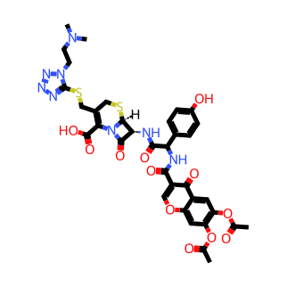 CC(=O)Oc1cc2occ(C(=O)NC(C(=O)N[C@@H]3C(=O)N4C(C(=O)O)=C(CSc5nnnn5CCN(C)C)CS[C@@H]34)c3ccc(O)cc3)c(=O)c2cc1OC(C)=O